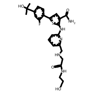 CC(C)(O)c1ccc(-c2cc(C(N)=O)c(Nc3cccc(CNCC(=O)NCCO)n3)s2)c(F)c1